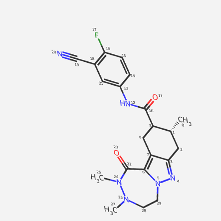 C[C@@H]1Cc2nn3c(c2CC1C(=O)Nc1ccc(F)c(C#N)c1)C(=O)N(C)N(C)CC3